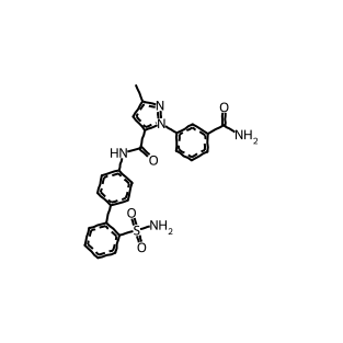 Cc1cc(C(=O)Nc2ccc(-c3ccccc3S(N)(=O)=O)cc2)n(-c2cccc(C(N)=O)c2)n1